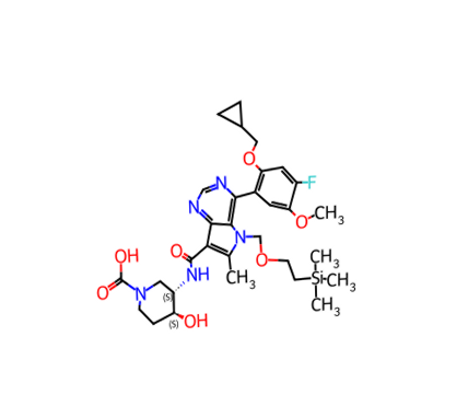 COc1cc(-c2ncnc3c(C(=O)N[C@H]4CN(C(=O)O)CC[C@@H]4O)c(C)n(COCC[Si](C)(C)C)c23)c(OCC2CC2)cc1F